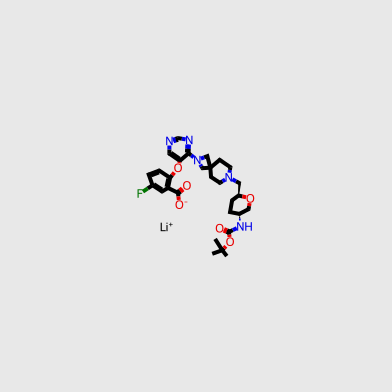 CC(C)(C)OC(=O)N[C@@H]1CC[C@@H](CN2CCC3(CC2)CN(c2ncncc2Oc2ccc(F)cc2C(=O)[O-])C3)OC1.[Li+]